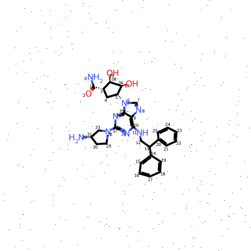 NC(=O)[C@H]1C[C@@H](n2cnc3c(NCC(c4ccccc4)c4ccccc4)nc(N4CC[C@@H](N)C4)nc32)[C@H](O)[C@@H]1O